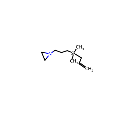 C=CC[Si](C)(C)CCCN1CC1